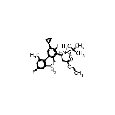 CCOC(=O)C[C@H](N[S@+]([O-])C(C)(C)C)c1c(F)c(-c2c(C)cc(F)cc2C)cc(C2CC2)c1F